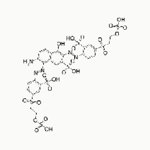 Nc1ccc2c(O)c(/N=N/c3ccc(S(=O)(=O)CCOS(=O)(=O)O)cc3S(=O)(=O)O)c(S(=O)(=O)O)cc2c1/N=N/c1ccc(S(=O)(=O)CCOS(=O)(=O)O)cc1S(=O)(=O)O